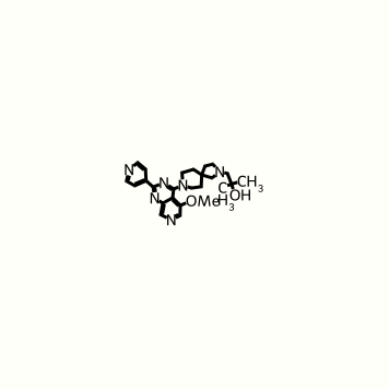 COc1cncc2nc(-c3ccncc3)nc(N3CCC4(CCN(CC(C)(C)O)C4)CC3)c12